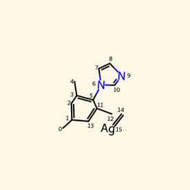 Cc1cc(C)c(-n2ccnc2)c(C)c1.[CH2]=[Ag]